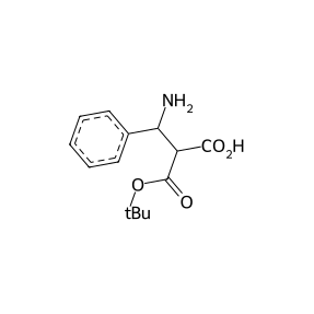 CC(C)(C)OC(=O)C(C(=O)O)C(N)c1ccccc1